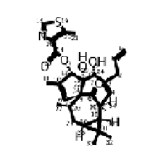 C=CCC1=C[C@@H]2C(=O)[C@]3(C=C(C)[C@H](OC(=O)c4ncsc4C)[C@@]3(O)[C@@H]1O)[C@H](C)C[C@@H]1[C@H]2C1(C)C